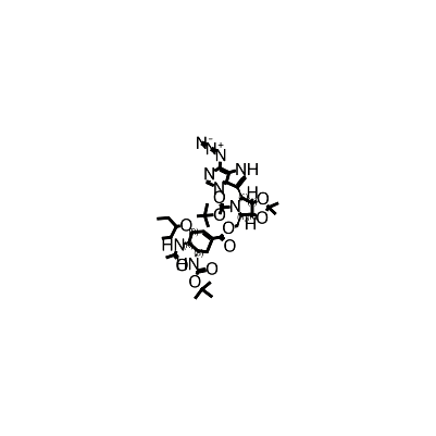 CCC(CC)O[C@@H]1C=C(C(=O)OC[C@@H]2[C@H]3OC(C)(C)O[C@H]3[C@H](c3c[nH]c4c(N=[N+]=[N-])ncnc34)N2C(=O)OC(C)(C)C)C[C@H](NC(=O)OC(C)(C)C)[C@H]1NC(C)=O